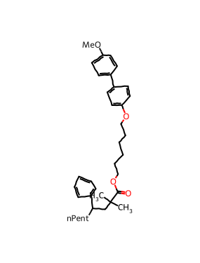 CCCCCC(CC(C)(C)C(=O)OCCCCCCOc1ccc(-c2ccc(OC)cc2)cc1)c1ccccc1